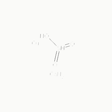 O=[SH](=O)O.[CaH2].[Cu]